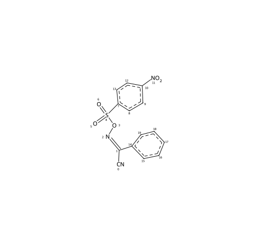 N#CC(=NOS(=O)(=O)c1ccc([N+](=O)[O-])cc1)c1ccccc1